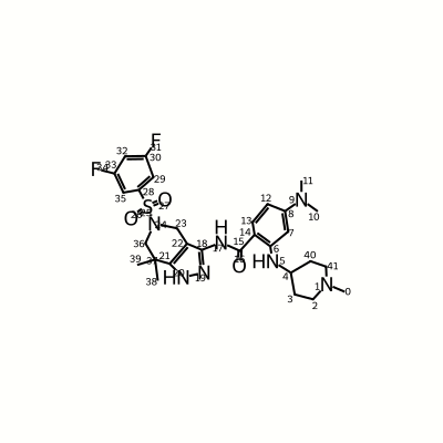 CN1CCC(Nc2cc(N(C)C)ccc2C(=O)Nc2n[nH]c3c2CN(S(=O)(=O)c2cc(F)cc(F)c2)CC3(C)C)CC1